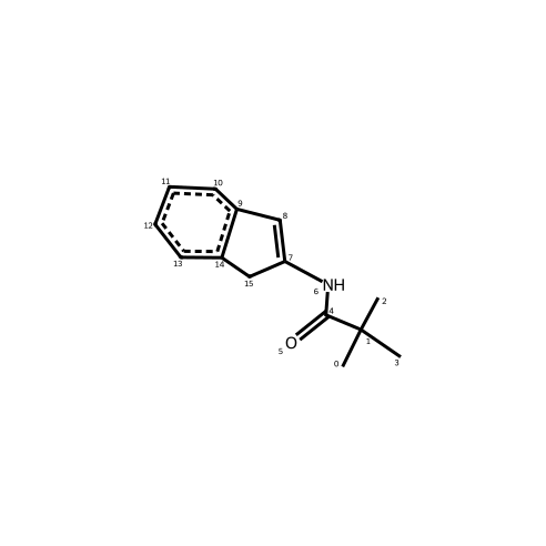 CC(C)(C)C(=O)NC1=Cc2ccccc2C1